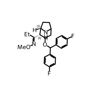 CCC(=NOC)[C@@H]1[C@@H]2CCC(C[C@H]1OC(c1ccc(F)cc1)c1ccc(F)cc1)N2